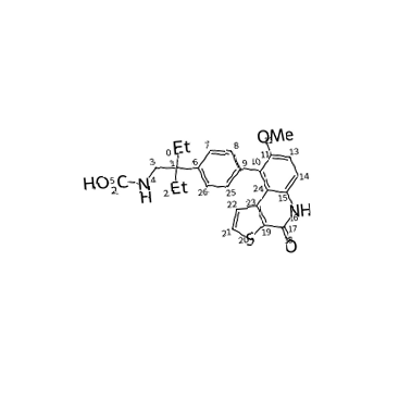 CCC(CC)(CNC(=O)O)c1ccc(-c2c(OC)ccc3[nH]c(=O)c4sccc4c23)cc1